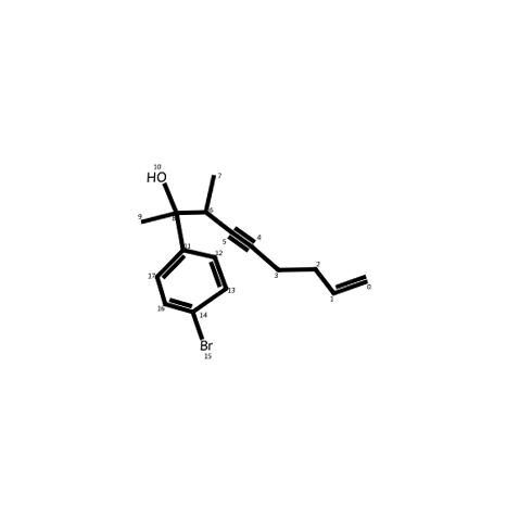 C=CCCC#CC(C)C(C)(O)c1ccc(Br)cc1